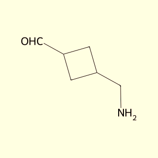 NCC1CC(C=O)C1